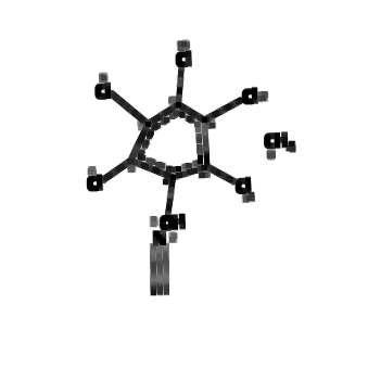 C.C#N.Oc1c(Cl)c(Cl)c(Cl)c(Cl)c1Cl